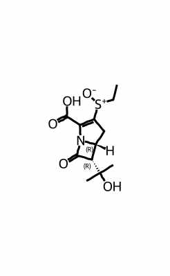 CC[S+]([O-])C1=C(C(=O)O)N2C(=O)[C@@H](C(C)(C)O)[C@H]2C1